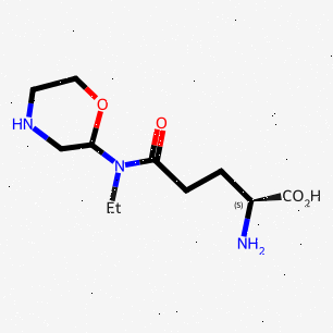 CCN(C(=O)CC[C@H](N)C(=O)O)C1CNCCO1